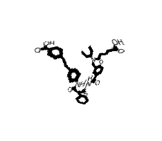 CCC(CC)N(Cc1cccc(C(=O)Nc2sc3c(c2C(=O)Nc2ccc(CCc4ccc(C(=O)O)cc4)cc2)CCCC3)c1)C(=O)CCCC(=O)O